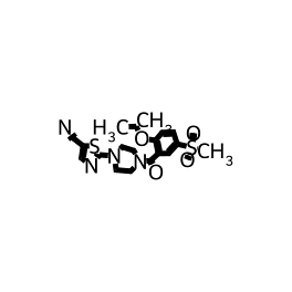 CC(C)Oc1ccc(S(C)(=O)=O)cc1C(=O)N1CCN(c2ncc(C#N)s2)CC1